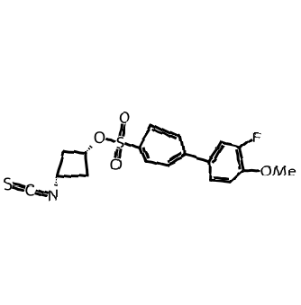 COc1ccc(-c2ccc(S(=O)(=O)O[C@H]3C[C@@H](N=C=S)C3)cc2)cc1F